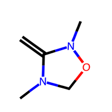 C=C1N(C)CON1C